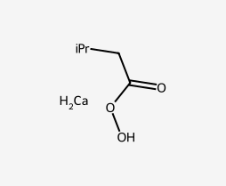 CC(C)CC(=O)OO.[CaH2]